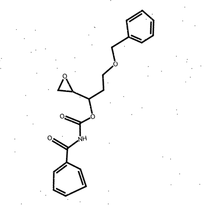 O=C(NC(=O)c1ccccc1)OC(CCOCc1ccccc1)C1CO1